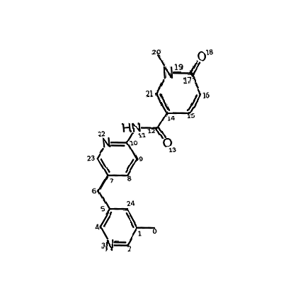 Cc1cncc(Cc2ccc(NC(=O)c3ccc(=O)n(C)c3)nc2)c1